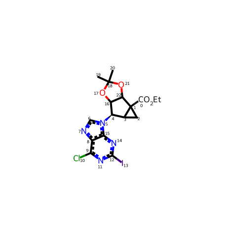 CCOC(=O)C12CC1[C@@H](n1cnc3c(Cl)nc(I)nc31)C1OC(C)(C)OC12